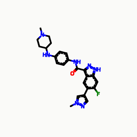 CN1CCC(Nc2ccc(NC(=O)c3n[nH]c4cc(F)c(-c5cnn(C)c5)cc34)cc2)CC1